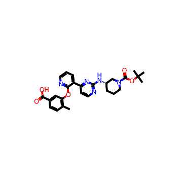 Cc1ccc(C(=O)O)cc1Oc1ncccc1-c1ccnc(N[C@H]2CCCN(C(=O)OC(C)(C)C)C2)n1